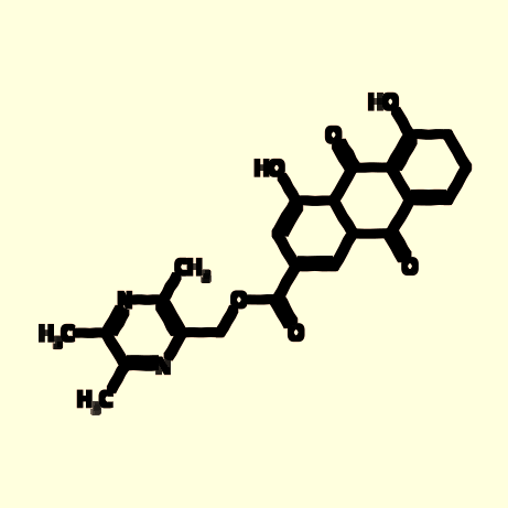 Cc1nc(C)c(COC(=O)C2=CC3C(=O)C4=CCCC(O)=C4C(=O)C3C(O)=C2)nc1C